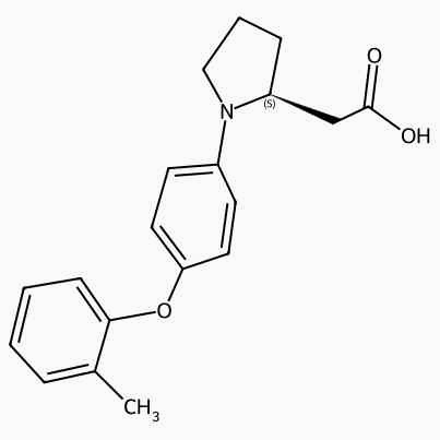 Cc1ccccc1Oc1ccc(N2CCC[C@H]2CC(=O)O)cc1